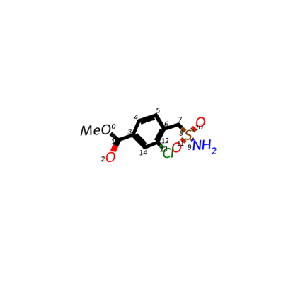 COC(=O)c1ccc(CS(N)(=O)=O)c(Cl)c1